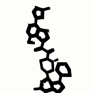 COc1cnc(-n2cnc(C)n2)c2[nH]cc(C(=O)C(=O)N3CCN(c4nc(C)nc5scc(-c6ccccc6)c45)C[C@H]3C)c12